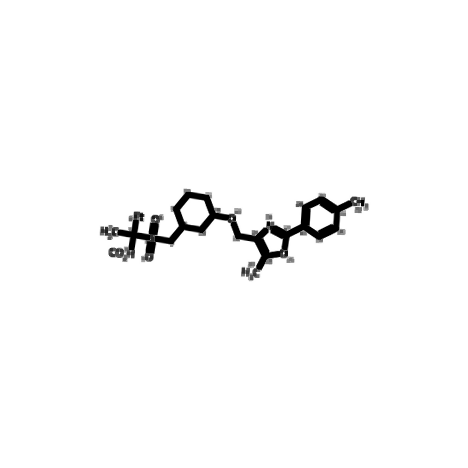 CCC(C)(C(=O)O)S(=O)(=O)CC1CCCC(OCc2nc(-c3ccc(C)cc3)oc2C)C1